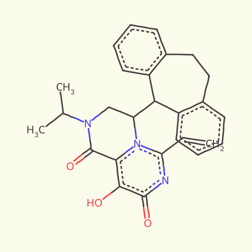 C=Cc1nc(=O)c(O)c2n1C(C1c3ccccc3CCc3ccccc31)CN(C(C)C)C2=O